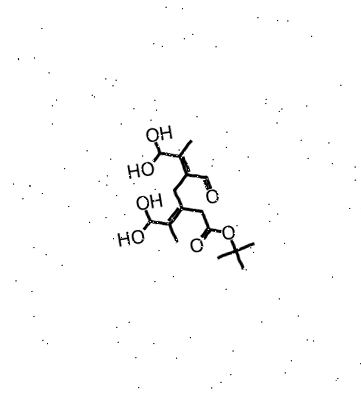 CC(=C(C=O)CC(CC(=O)OC(C)(C)C)=C(C)C(O)O)C(O)O